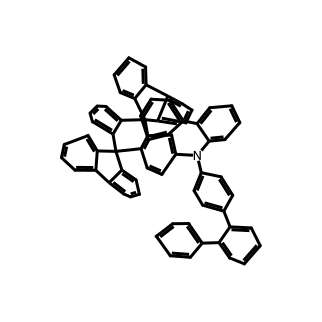 c1ccc(-c2ccccc2-c2ccc(N(c3ccc4c(c3)C3(c5ccccc5-c5ccccc53)c3ccccc3C43c4ccccc4-c4ccccc43)c3ccccc3-c3ccccc3)cc2)cc1